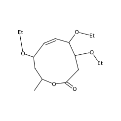 CCOC1C=CC(OCC)C(OCC)CC(=O)OC(C)C1